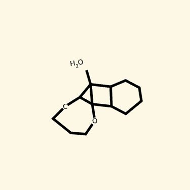 CC12C3CCCCC3C13OCCCCC23.O